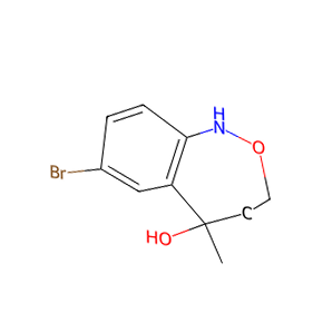 CC1(O)CCONc2ccc(Br)cc21